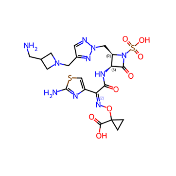 NCC1CN(Cc2cnn(C[C@@H]3[C@H](NC(=O)/C(=N\OC4(C(=O)O)CC4)c4csc(N)n4)C(=O)N3S(=O)(=O)O)n2)C1